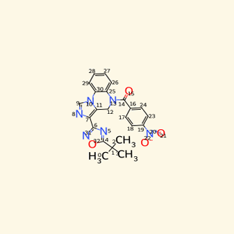 CC(C)(C)c1nc(-c2ncn3c2CN(C(=O)c2ccc([N+](=O)[O-])cc2)c2ccccc2-3)no1